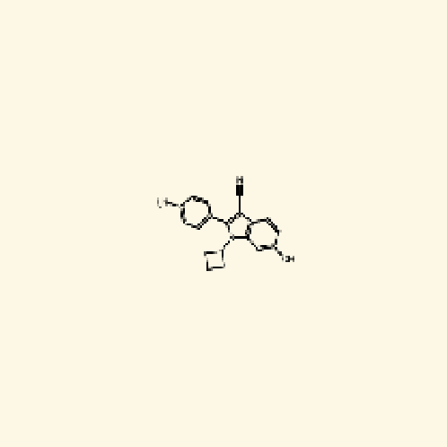 N#Cc1c(-c2ccc(N)cc2)n(C2CCC2)c2cc(O)ccc12